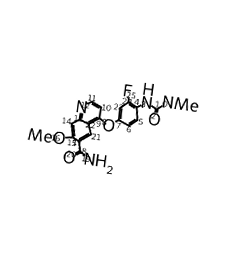 CNC(=O)Nc1ccc(Oc2ccnc3cc(OC)c(C(N)=O)cc23)cc1F